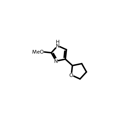 COc1nc(C2CCCO2)c[nH]1